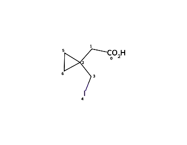 O=C(O)CC1(CI)CC1